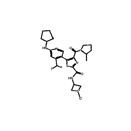 CC1CCCN1C(=O)c1nc(C(=O)NC2C[S+]([O-])C2)sc1-c1cnc(NC2CCCC2)cc1C(F)F